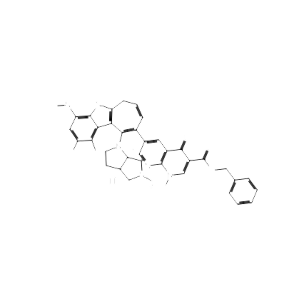 CNc1cc(F)c(F)c2c3c([nH]c12)CC=CC(c1cnc2c(c1)c(=O)c(C(=O)OCc1ccccc1)cn2C)=C3N1CC[C@@H]2CN(C)C[C@@H]21